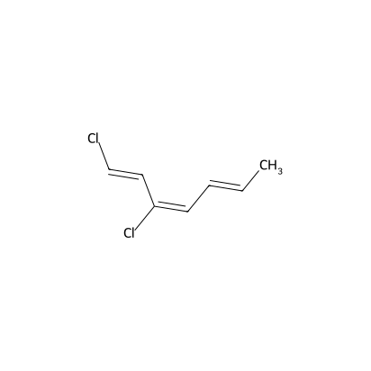 C/C=C/C=C(Cl)\C=C\Cl